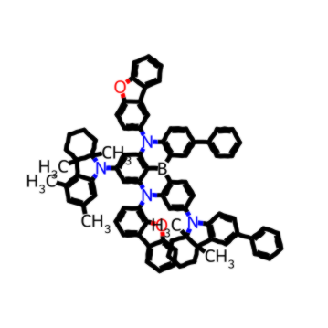 Cc1cc(C)c2c(c1)N(c1cc3c4c(c1)N(c1cccc5c1oc1ccccc15)c1cc(N5c6ccc(-c7ccccc7)cc6C6(C)CCCCC56C)ccc1B4c1cc(-c4ccccc4)ccc1N3c1ccc3oc4ccccc4c3c1)C1(C)CCCCC21C